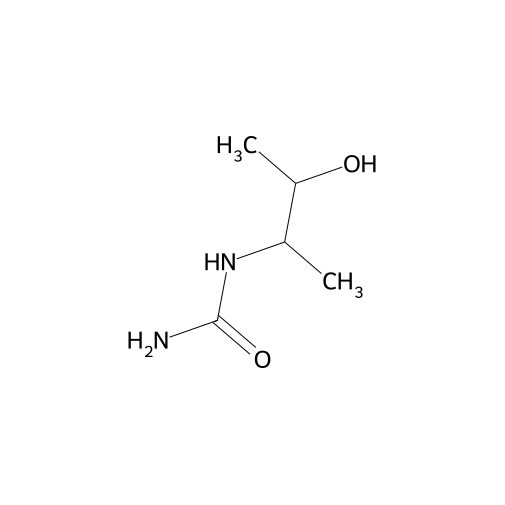 CC(O)C(C)NC(N)=O